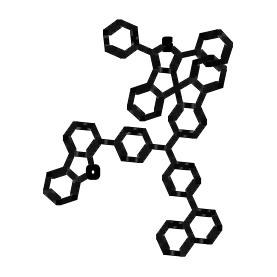 c1ccc(-c2sc(-c3ccccc3)c3c2-c2ccccc2C32c3ccccc3-c3ccc(C(c4ccc(-c5cccc6ccccc56)cc4)c4ccc(-c5cccc6c5oc5ccccc56)cc4)cc32)cc1